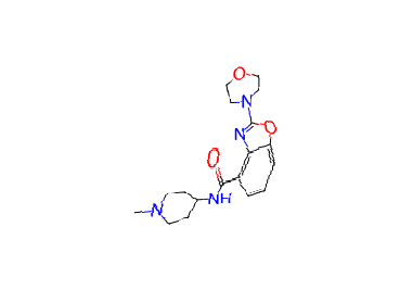 CN1CCC(NC(=O)c2cccc3oc(N4CCOCC4)nc23)CC1